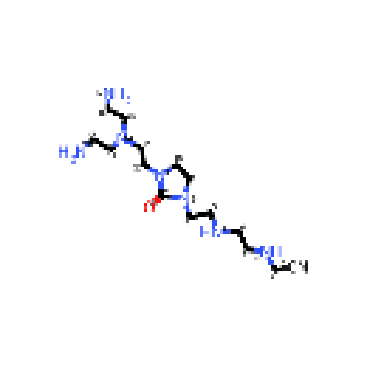 N#CCNCCNCCN1CCN(CCN(CCN)CCN)C1=O